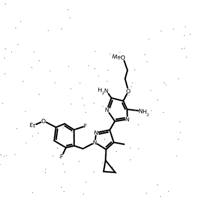 CCOc1cc(F)c(Cn2nc(-c3nc(N)c(OCCOC)c(N)n3)c(C)c2C2CC2)c(F)c1